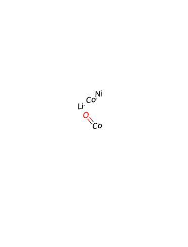 [Co].[Li].[Ni].[O]=[Co]